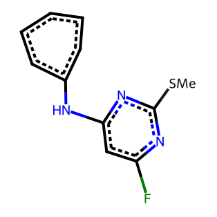 CSc1nc(F)cc(Nc2ccccc2)n1